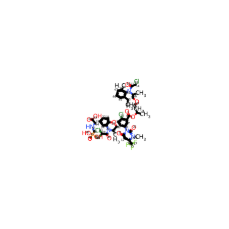 CC(C)OC(=O)c1cc(-n2c(=O)cc(C(F)(F)F)n(C)c2=O)ccc1Cl.CC1COc2ccccc2N1C(=O)C(Cl)Cl.CCc1cccc(C)c1N(C(=O)CCl)C(C)COC.O=C(O)CNCP(=O)(O)O